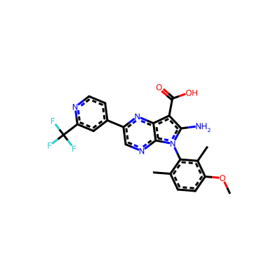 COc1ccc(C)c(-n2c(N)c(C(=O)O)c3nc(-c4ccnc(C(F)(F)F)c4)cnc32)c1C